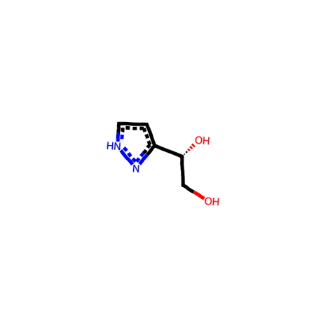 OC[C@@H](O)c1cc[nH]n1